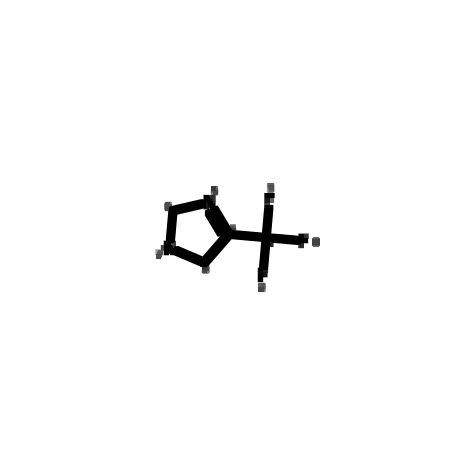 FC(F)(F)C1=NC[N]C1